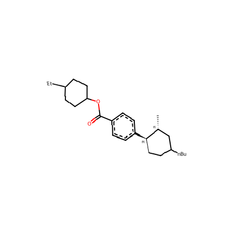 CCCCC1CC[C@@H](c2ccc(C(=O)OC3CCC(CC)CC3)cc2)[C@H](C)C1